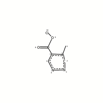 Cc1cnncc1C(=O)OCl